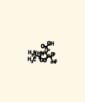 C[C@H](N)C(=O)NC(CC(=O)O)C(=O)C(=O)CF